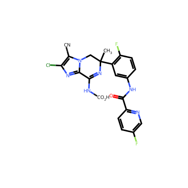 CC1(c2cc(NC(=O)c3ccc(F)cn3)ccc2F)Cn2c(nc(Cl)c2C#N)C(NC(=O)O)=N1